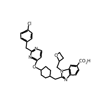 O=C(O)c1ccc2nc(CC3CCC(Oc4ccnc(Cc5ccc(Cl)cc5)n4)CC3)n(CC3CCO3)c2c1